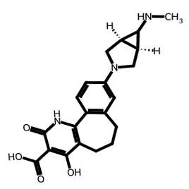 CNC1[C@H]2CN(c3ccc4c(c3)CCCc3c-4[nH]c(=O)c(C(=O)O)c3O)C[C@@H]12